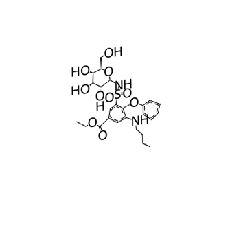 CCCCNc1cc(C(=O)OCC)cc(S(=O)(=O)NC2O[C@H](CO)[C@H](O)[C@H](O)[C@H]2O)c1Oc1ccccc1